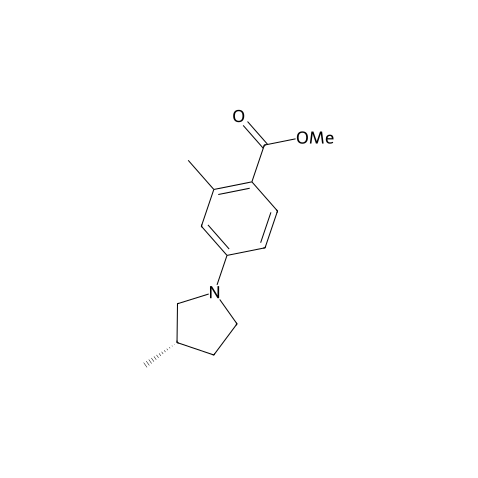 COC(=O)c1ccc(N2CC[C@H](C)C2)cc1C